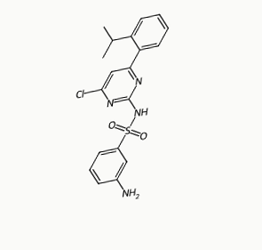 CC(C)c1ccccc1-c1cc(Cl)nc(NS(=O)(=O)c2cccc(N)c2)n1